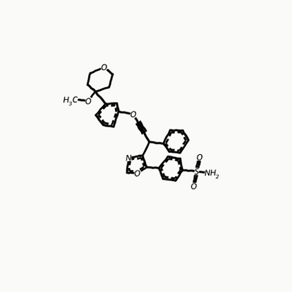 COC1(c2cccc(OC#CC(c3ccccc3)c3ncoc3-c3ccc(S(N)(=O)=O)cc3)c2)CCOCC1